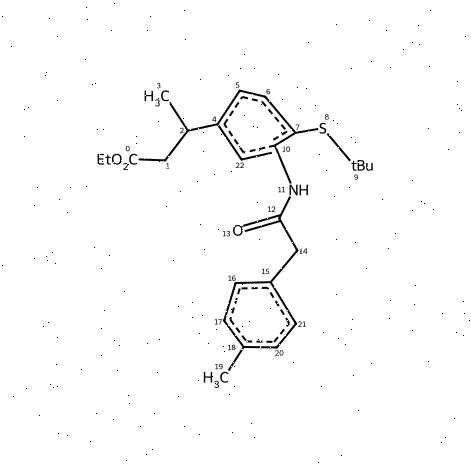 CCOC(=O)CC(C)c1ccc(SC(C)(C)C)c(NC(=O)Cc2ccc(C)cc2)c1